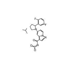 CC(C)C.O=C(N=S(=O)=O)c1cnn2ccc(N3CCCC3c3cc(F)ccc3F)cc12